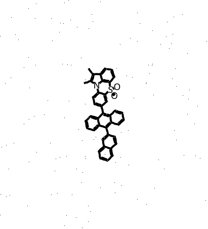 Cc1c(C)n2c3c(cccc13)S(=O)(=O)c1cc(-c3c4ccccc4c(-c4ccc5ccccc5c4)c4ccccc34)ccc1-2